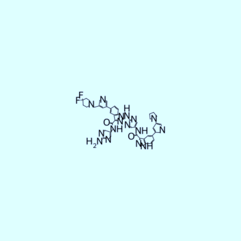 Nc1ncc(NC(=O)c2nn(Nc3ncc(NC(=O)c4n[nH]c5ccc(-c6cncc(N7CCCC7)c6)cc45)cn3)c3ccc(-c4cncc(CN5CCC(F)(F)CC5)c4)cc23)cn1